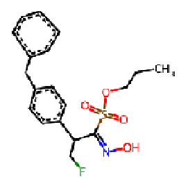 CCCOS(=O)(=O)C(=NO)C(CF)c1ccc(Cc2ccccc2)cc1